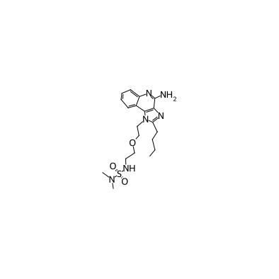 CCCCc1nc2c(N)nc3ccccc3c2n1CCOCCNS(=O)(=O)N(C)C